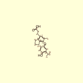 Cc1cc(CCC(=O)O)c2c(c1Oc1ccc(O)c(C(C)C)c1)CCC2